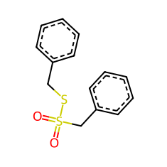 O=S(=O)(Cc1ccccc1)SCc1ccccc1